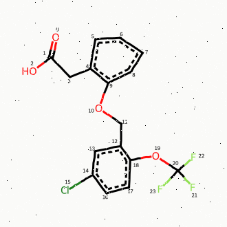 O=C(O)Cc1ccccc1OCc1cc(Cl)ccc1OC(F)(F)F